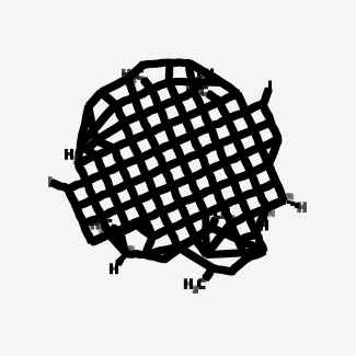 CC1[C@@H]2C34CC5(C)C67C8CC(C)C39C53C65C6%10C8C78[C@@H]7[C@@H]%11C%12%13C%14C%15C%16C(I)C%17%18C%19C%20C%21C%22CC%23C%24C%25C%26(C)C%27%28C%24%29C%25%24C%25C%30%31C(I)C%32C%33C%34C2%35C12C%341C%34%36C%33%35C%32%30C%34%30C%31%32C%25%24C%26%24C%27%25C%26%27C%28%31C%23%29C%23(C)C%22%20C%20%22C%21(C)C%21%28C%19(C)C%17%19C%17%29C%16%18C%15%12C%17%12C%14%15C7%13C7(C%1186)C%106C58C35C93C42C12C%361C%304C%24%32C%259C4%10C14C32C51C82C63C%157C%125C%296C%21%19C78C%28%20C%26(C%23%22%31)C7%11C%279C%107C14C21C53C68C%1117